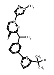 CC(c1cccc(-c2nccc(C(C)(C)O)n2)c1)c1nn(-c2cnn(C)c2)ccc1=O